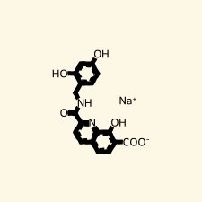 O=C(NCc1ccc(O)cc1O)c1ccc2ccc(C(=O)[O-])c(O)c2n1.[Na+]